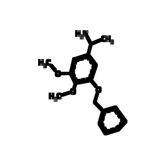 COc1cc(C(C)N)cc(OCc2ccccc2)c1OC